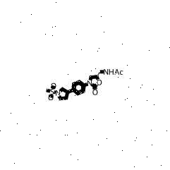 CC(=O)NC[C@H]1CN(c2ccc(C3CCN(S(C)(=O)=O)C3)cc2)C(=O)O1